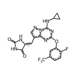 O=C1NC(=O)/C(=C/c2cnn3c(NC4CC4)nc(Oc4cc(C(F)(F)F)ccc4F)nc23)N1